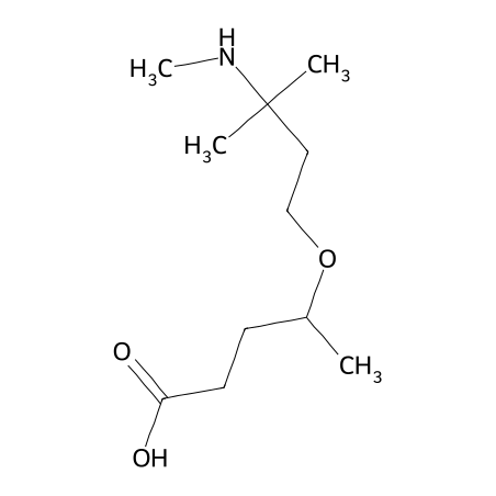 CNC(C)(C)CCOC(C)CCC(=O)O